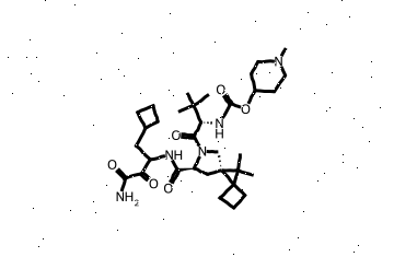 CN1CCC(OC(=O)N[C@H](C(=O)N2C[C@]3(C[C@H]2C(=O)NC(CC2CCC2)C(=O)C(N)=O)C(C)(C)C32CCC2)C(C)(C)C)CC1